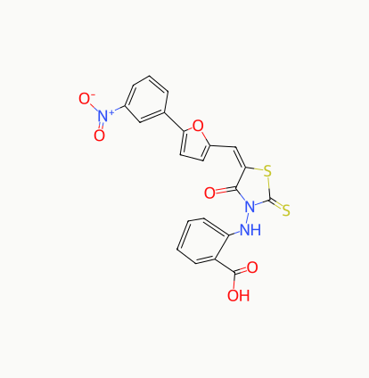 O=C(O)c1ccccc1NN1C(=O)/C(=C\c2ccc(-c3cccc([N+](=O)[O-])c3)o2)SC1=S